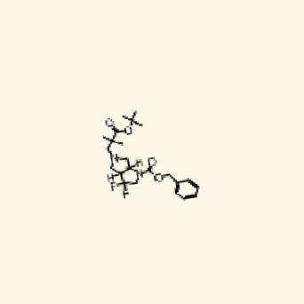 CC(C)(C)OC(=O)C(C)(C)CN1C[C@@H]2[C@H](C1)N(C(=O)OCc1ccccc1)CC2(F)F